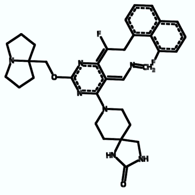 C=N/C=c1/c(N2CCC3(CC2)CNC(=O)N3)nc(OCC23CCCN2CCC3)n/c1=C(\F)Cc1cccc2cccc(F)c12